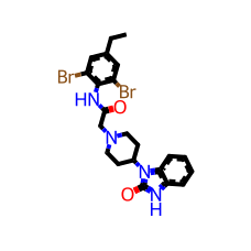 CCc1cc(Br)c(NC(=O)CN2CCC(n3c(=O)[nH]c4ccccc43)CC2)c(Br)c1